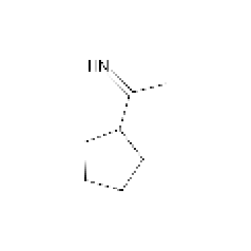 CC(=N)C1CCCC1